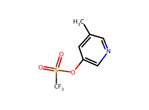 Cc1cncc(OS(=O)(=O)C(F)(F)F)c1